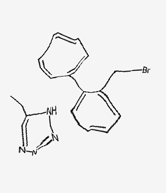 BrCc1ccccc1-c1ccccc1.Cc1nnn[nH]1